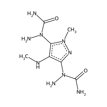 CNc1c(N(N)C(N)=O)nn(C)c1N(N)C(N)=O